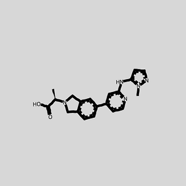 C[C@H](C(=O)O)N1Cc2ccc(-c3ccnc(Nc4ccnn4C)c3)cc2C1